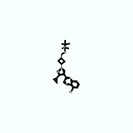 CC(C)(C)[Si](C)(C)OC[C@H]1C[C@H](n2cc(-c3cnc4c(Cl)cccc4n3)c(C3CC3)n2)C1